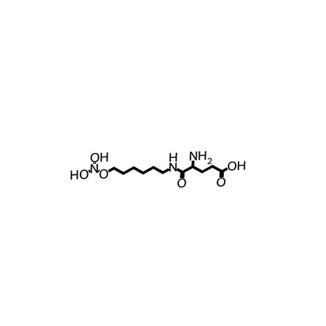 NC(CCC(=O)O)C(=O)NCCCCCCON(O)O